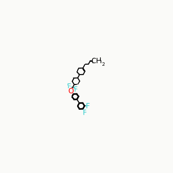 C=CCCC1=CCC(C2CCC(C(F)(F)Oc3ccc(-c4ccc(F)c(F)c4)cc3)CC2)CC1